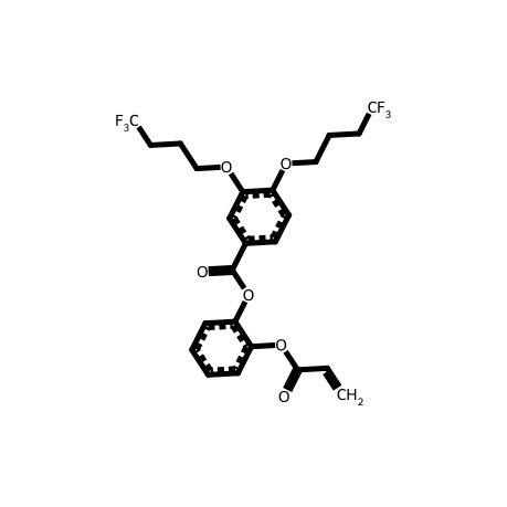 C=CC(=O)Oc1ccccc1OC(=O)c1ccc(OCCCC(F)(F)F)c(OCCCC(F)(F)F)c1